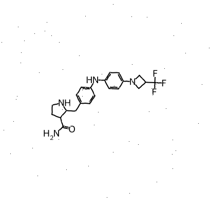 NC(=O)C1CCNC1Cc1ccc(Nc2ccc(N3CC(C(F)(F)F)C3)cc2)cc1